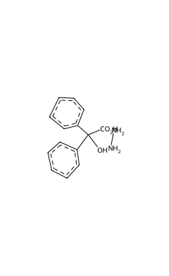 NN.O=C(O)C(O)(c1ccccc1)c1ccccc1